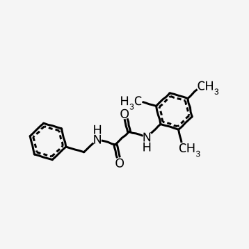 Cc1cc(C)c(NC(=O)C(=O)NCc2ccccc2)c(C)c1